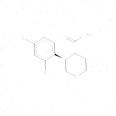 COC(=O)[C@@H]1CCNC[C@H]1c1ccc(F)cc1F